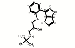 CC(C)(C)NCC(O)COc1ccccc1-c1n[nH]c2ccsc12